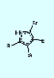 Brc1[nH]c(Br)c(Br)c1Br